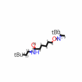 C/C(=N/OCCCCCC(=O)NCCC(C)(C)C)C(C)(C)C